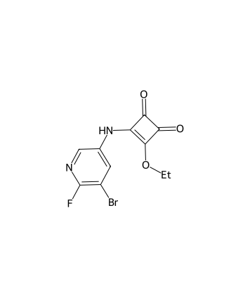 CCOc1c(Nc2cnc(F)c(Br)c2)c(=O)c1=O